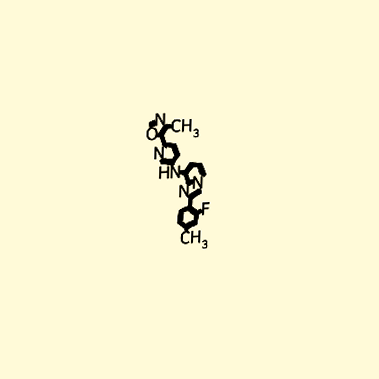 Cc1ccc(-c2cn3cccc(Nc4ccc(-c5ocnc5C)nc4)c3n2)c(F)c1